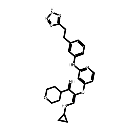 N=C(/C(=C\NC1CC1)Oc1ccnc(Nc2cccc(CCc3nn[nH]n3)c2)c1)C1CCOCC1